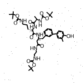 Cc1cc(-c2cccc(C[C@@H](CC(=O)NCCNC(=O)OC(C)(C)C)NC(=O)[C@H](CCCNC(=O)OC(C)(C)C)NC(=O)C(C)NC(=O)OC(C)(C)C)c2)ccc1O